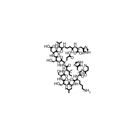 CC[C@H](C)[C@H](NC(=O)[C@H](CO)NC(=O)[C@H](CO)NC(=O)[C@H](CC(C)C)NC(=O)[C@H](CCCCN)NC(=O)[C@H](Cc1c[nH]cn1)NC(=O)CCN)C(=O)N[C@@H](CCC(=O)O)C(=O)N[C@@H](CO)C(=O)N[C@@H](CC(=O)O)C(=O)N[C@H](C(=O)NCCC(=O)N[C@@H](Cc1c[nH]cn1)C(=O)O)C(C)C